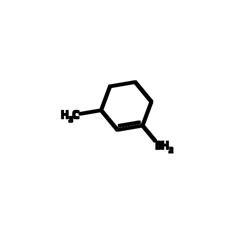 BC1=CC(C)CCC1